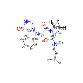 CC(C)=CCN(F)C(=O)[C@@H]1C[C@H]2C[C@H]2N1C(=O)Cn1nc(C(N)=O)c2ccccc21